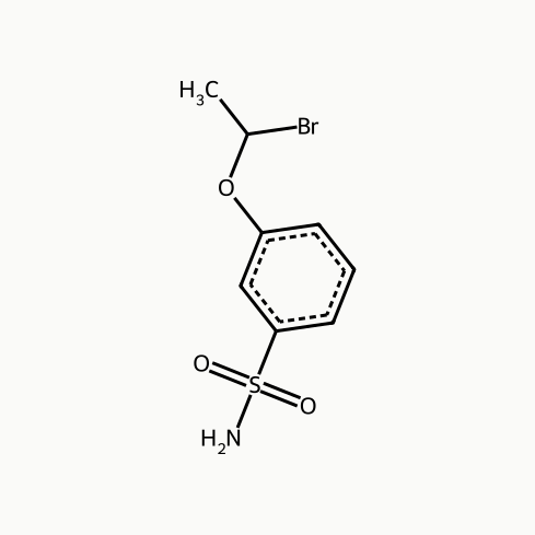 CC(Br)Oc1cccc(S(N)(=O)=O)c1